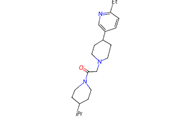 CCc1ccc(C2CCN(CC(=O)N3CCC(C(C)C)CC3)CC2)cn1